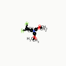 C=C(C)C(=O)OCc1ccc(N(c2ccc(COC(=O)C(=C)C)cc2)c2ccc(C(C)(C)c3cc(CCC(F)(F)F)cc(CCC(F)(F)F)c3)cc2)cc1